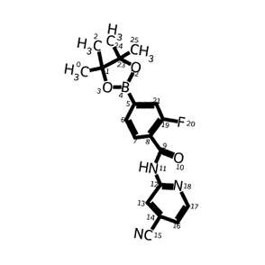 CC1(C)OB(c2ccc(C(=O)Nc3cc(C#N)ccn3)c(F)c2)OC1(C)C